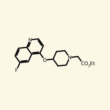 CCOC(=O)CN1CCC(Oc2ccnc3ccc(F)cc23)CC1